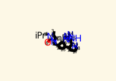 CCCc1c(C)n(CC(C)C)c(=O)n1Cc1ccc(-c2cccnc2-c2nnn[nH]2)cc1